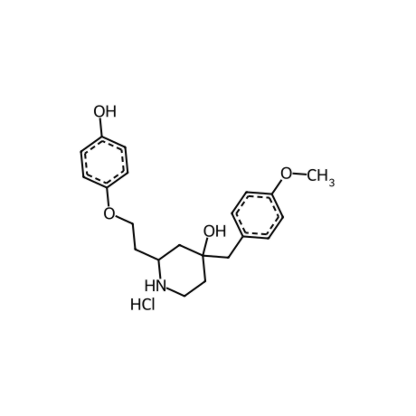 COc1ccc(CC2(O)CCNC(CCOc3ccc(O)cc3)C2)cc1.Cl